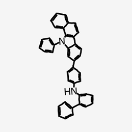 c1ccc(-c2ccccc2Nc2ccc(-c3ccc4c5ccc6ccccc6c5n(-c5ccccc5)c4c3)cc2)cc1